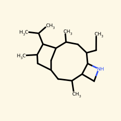 CCC1CC(C)C2CC(CC(C)C3CNC13)CC(C)C2C(C)C